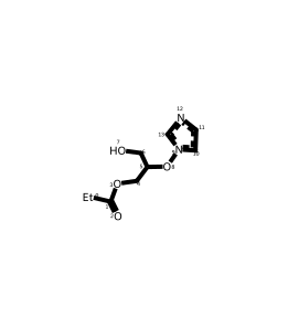 CCC(=O)OCC(CO)On1ccnc1